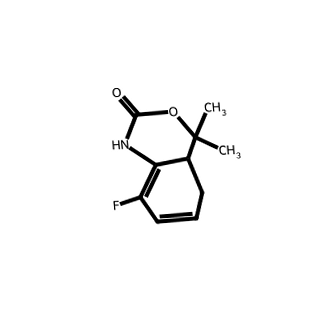 CC1(C)OC(=O)NC2=C(F)C=CCC21